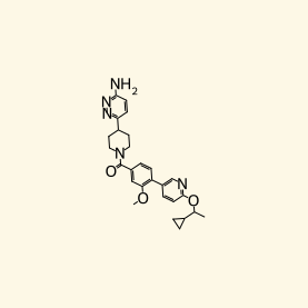 COc1cc(C(=O)N2CCC(c3ccc(N)nn3)CC2)ccc1-c1ccc(OC(C)C2CC2)nc1